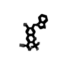 O=C(O)C1=Cc2cc(Cl)c(Cn3cnc4ccccc43)cc2OC1C(F)(F)F